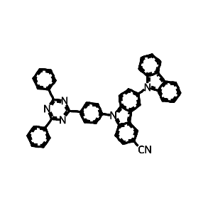 N#Cc1ccc2c(c1)c1cc(-n3c4ccccc4c4ccccc43)ccc1n2-c1ccc(-c2nc(-c3ccccc3)nc(-c3ccccc3)n2)cc1